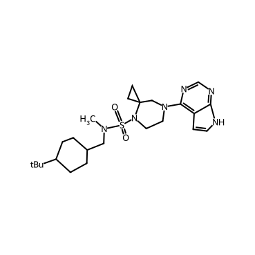 CN(CC1CCC(C(C)(C)C)CC1)S(=O)(=O)N1CCN(c2ncnc3[nH]ccc23)CC12CC2